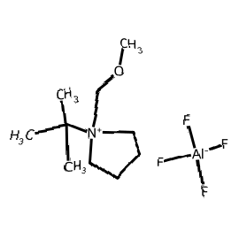 COC[N+]1(C(C)(C)C)CCCC1.[F][Al-]([F])([F])[F]